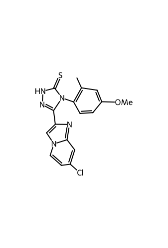 COc1ccc(-n2c(-c3cn4ccc(Cl)cc4n3)n[nH]c2=S)c(C)c1